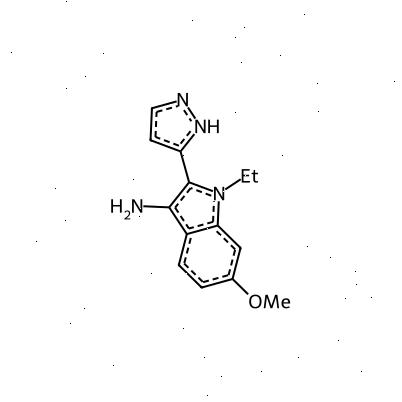 CCn1c(-c2ccn[nH]2)c(N)c2ccc(OC)cc21